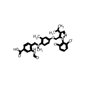 Cc1cc(OCc2c(C(C)C)cnn2-c2c(Cl)cccc2Cl)ccc1N(C)Cc1ccc(C(=O)O)cc1NC=O